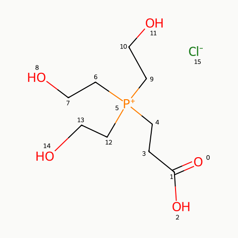 O=C(O)CC[P+](CCO)(CCO)CCO.[Cl-]